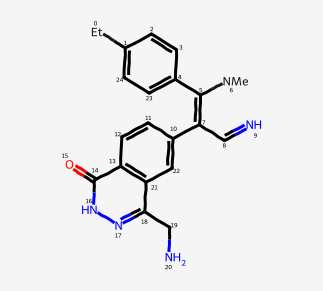 CCc1ccc(/C(NC)=C(/C=N)c2ccc3c(=O)[nH]nc(CN)c3c2)cc1